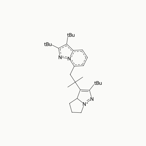 CC(C)(C)C1=C(C(C)(C)Cc2cccc3c(C(C)(C)C)c(C(C)(C)C)nn23)C2CCC[N+]2=N1